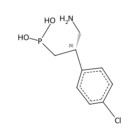 NC[C@@H](CP(O)O)c1ccc(Cl)cc1